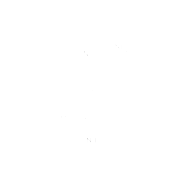 NC(=O)[CH]c1ccnc(N)c1